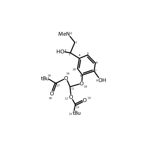 CNCC(O)c1ccc(O)c(OC(OC(=O)C(C)(C)C)OC(=O)C(C)(C)C)c1